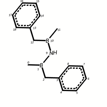 CB(Cc1ccccc1)NB(C)Cc1ccccc1